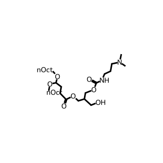 CCCCCCCCOC(CCC(=O)OCC(CO)COC(=O)NCCCN(C)C)OCCCCCCCC